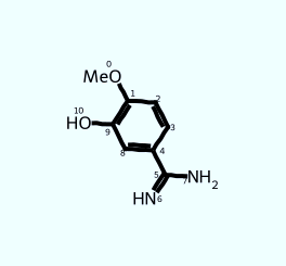 COc1ccc(C(=N)N)cc1O